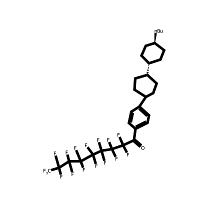 CCCC[C@H]1CC[C@H](C2CCC(c3ccc(C(=O)C(F)(F)C(F)(F)C(F)(F)C(F)(F)C(F)(F)C(F)(F)C(F)(F)C(F)(F)F)cc3)CC2)CC1